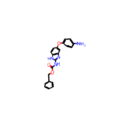 Nc1ccc(Oc2ccc3[nH]c(NC(=O)OCc4ccccc4)nc3c2)cc1